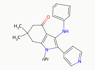 CCCn1c2c(c(Nc3ccccc3)c1-c1ccncc1)C(=O)CC(C)(C)C2